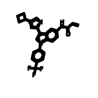 C=CC(=O)Nc1ccc2c(c1)c(-c1cn(C3CCC3)cn1)cn2-c1ccc(C(F)(F)F)cc1